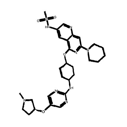 CN1CC[C@H](Oc2cnc(NC3CCC(Oc4nc(N5CCCCC5)cc5ncc(NS(C)(=O)=O)cc45)CC3)nc2)C1